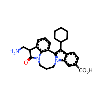 NCC1C(=O)N2CCCn3c(c(C4CCCCC4)c4ccc(C(=O)O)cc43)-c3cccc1c32